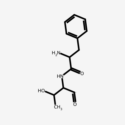 CC(O)C([C]=O)NC(=O)C(N)Cc1ccccc1